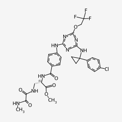 CNC(=O)C(=O)NC[C@H](NC(=O)c1ccc(Nc2nc(NC3(c4ccc(Cl)cc4)CC3)nc(OCC(F)(F)F)n2)cc1)C(=O)OC